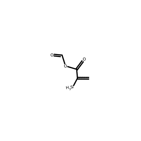 C=C([SiH3])C(=O)OC=O